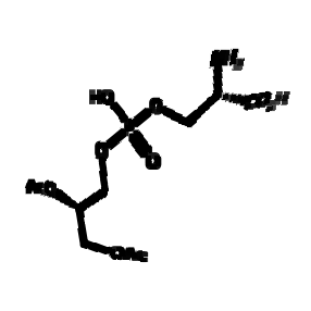 CC(=O)OC[C@H](COP(=O)(O)OC[C@H](N)C(=O)O)OC(C)=O